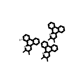 Cc1cc2c3ccccc3c3ccccc3c2nc1C.Cc1cc2c3ccccc3c3ccccc3c2nc1C.Cc1cc2c3ccccc3c3ccccc3c2nc1C.[Ir+3]